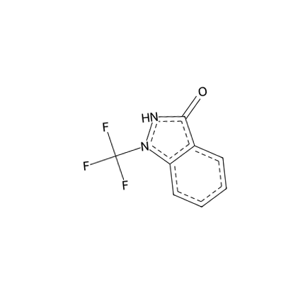 O=c1[nH]n(C(F)(F)F)c2ccccc12